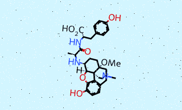 CO[C@@]12CC[C@H](N[C@@H](C)C(=O)N[C@@H](Cc3ccc(O)cc3)C(=O)O)[C@@H]3Oc4c(O)ccc5c4[C@@]31CCN(C)C2C5